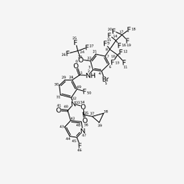 O=C(Nc1c(Br)cc(C(F)(C(F)(F)F)C(F)(F)C(F)(F)F)cc1OC(F)(F)F)c1cccc(N(OC(=O)C2CC2)C(=O)c2ccc(F)nc2)c1F